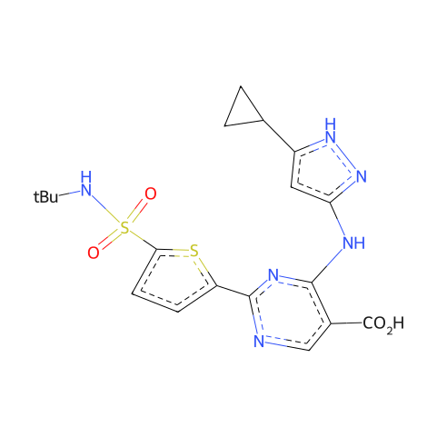 CC(C)(C)NS(=O)(=O)c1ccc(-c2ncc(C(=O)O)c(Nc3cc(C4CC4)[nH]n3)n2)s1